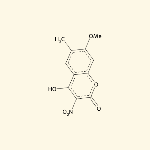 COc1cc2oc(=O)c([N+](=O)[O-])c(O)c2cc1C